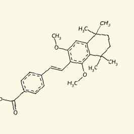 COc1cc2c(c(OC)c1/C=C/c1ccc(C(=O)O)cc1)C(C)(C)CCC2(C)C